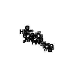 CC[C@H](C)C(NC(=O)C[C@H](NC(=O)/C=C/c1ccc2c(c1)OCO2)c1ccccc1)C(=O)[C@@H]1C(=O)NC(=O)[C@H]1C